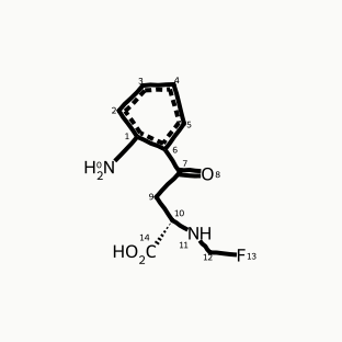 Nc1ccccc1C(=O)C[C@H](NCF)C(=O)O